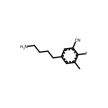 Cc1cc(CCCCN)cc(C#N)c1F